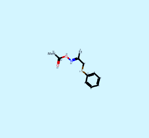 CCC(CSc1ccccc1)=NOC(=O)NC